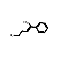 NCCC=C(C(=O)O)c1ccccc1